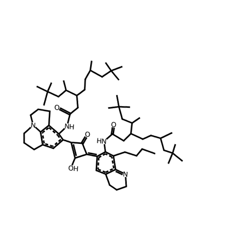 CCCCc1c(NC(=O)CC(CCC(C)CC(C)(C)C)C(C)CC(C)(C)C)/c(=C2\C(=O)C(c3cc4c5c(c3NC(=O)CC(CCC(C)CC(C)(C)C)C(C)CC(C)(C)C)CCCN5CCC4)=C2O)cc2c1=NCCC2